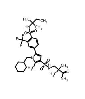 CCC(C)(C)NS(=O)(=O)c1ccc(-c2cc(S(=O)(=O)NCC(C)(C)C(N)=O)c(C)n2CC2CCCCC2)cc1C(F)(F)F